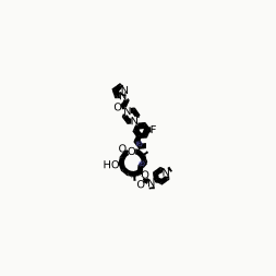 C/C(=C\c1cc(F)cc(N2CCN(C(=O)Cn3cccn3)CC2)c1)[C@H]1OC(=O)C[C@H](O)CC[C@H](C)[C@H](OC(=O)N(C)C2CCN(C)CC2)/C=C/[C@@H]1C